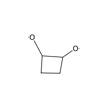 [O]C1CCC1[O]